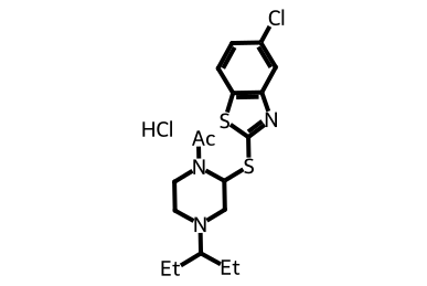 CCC(CC)N1CCN(C(C)=O)C(Sc2nc3cc(Cl)ccc3s2)C1.Cl